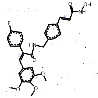 COc1cc(/C=C(\C(=O)NCc2ccc(/C=C/C(=O)NO)cc2)c2ccc(F)cc2)cc(OC)c1OC